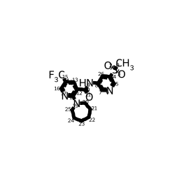 CS(=O)(=O)c1cncc(NC(=O)c2cc(C(F)(F)F)cnc2N2CCCCCC2)c1